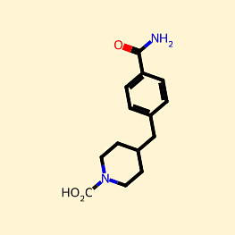 NC(=O)c1ccc(CC2CCN(C(=O)O)CC2)cc1